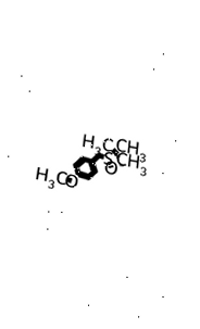 COc1ccc(C[S+]([O-])C(C)(C)C)cc1